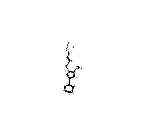 COC/C=C/Cn1cc(-c2ccccc2)cc1C